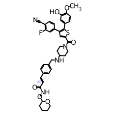 COc1ccc(-c2sc(C(=O)N3CCC(NCc4ccc(/C=C/C(=O)NOC5CCCCO5)cc4)CC3)cc2-c2ccc(C#N)c(F)c2)cc1O